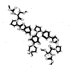 COC(=O)N[C@H](C(=O)N1CCCC1c1nc2cc([C@@H]3CC[C@@H](c4ccc(-c5cnc([C@@H]6CCCN6C(=O)[C@@H](NC(=O)OC)[C@@H](C)OC)[nH]5)cc4)N3c3cc(F)c(N4CC[Si](C)(C)CC4)c(F)c3)c(F)cc2[nH]1)[C@@H](C)OC